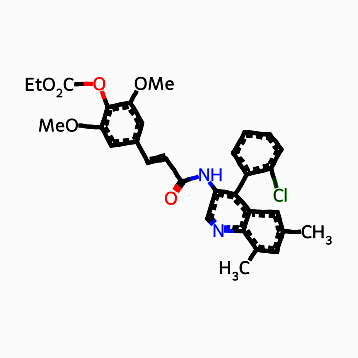 CCOC(=O)Oc1c(OC)cc(C=CC(=O)Nc2cnc3c(C)cc(C)cc3c2-c2ccccc2Cl)cc1OC